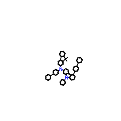 CC1(C)c2ccccc2-c2ccc(N(c3ccc(-c4ccccc4)cc3)c3ccc4c5c(-c6ccc(-c7ccccc7)cc6)cccc5n(-c5ccccc5)c4c3)cc21